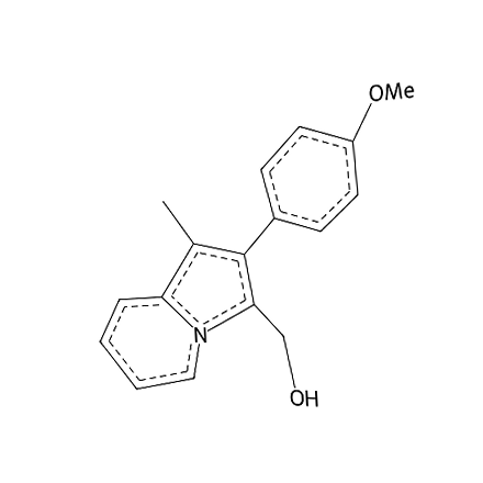 COc1ccc(-c2c(C)c3ccccn3c2CO)cc1